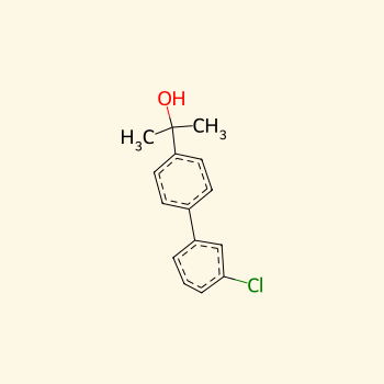 CC(C)(O)c1ccc(-c2cccc(Cl)c2)cc1